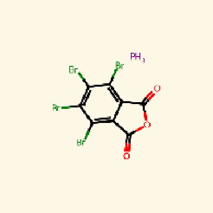 O=C1OC(=O)c2c(Br)c(Br)c(Br)c(Br)c21.P